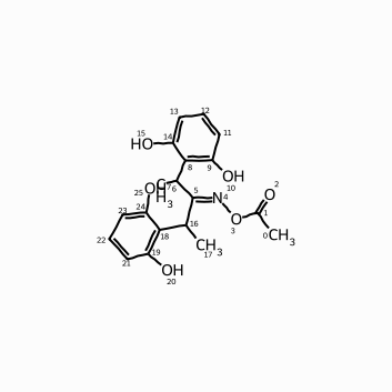 CC(=O)ON=C(C(C)c1c(O)cccc1O)C(C)c1c(O)cccc1O